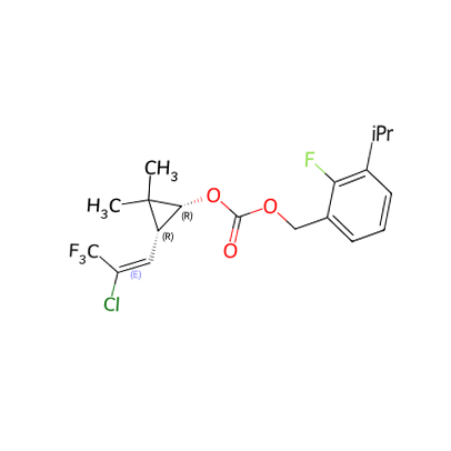 CC(C)c1cccc(COC(=O)O[C@@H]2[C@H](/C=C(/Cl)C(F)(F)F)C2(C)C)c1F